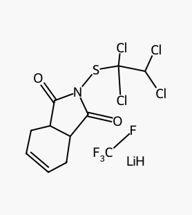 FC(F)(F)F.O=C1C2CC=CCC2C(=O)N1SC(Cl)(Cl)C(Cl)Cl.[LiH]